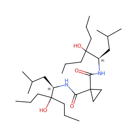 CCCC(O)(CCC)[C@@H](CC(C)C)NC(=O)C1(C(=O)N[C@H](CC(C)C)C(O)(CCC)CCC)CC1